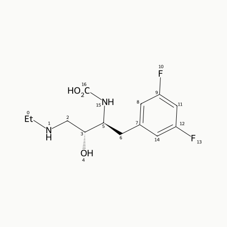 CCNC[C@@H](O)[C@H](Cc1cc(F)cc(F)c1)NC(=O)O